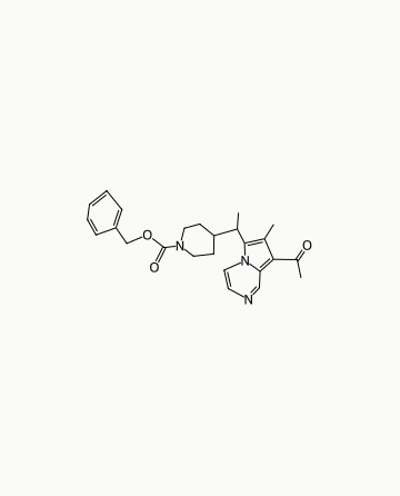 CC(=O)c1c(C)c(C(C)C2CCN(C(=O)OCc3ccccc3)CC2)n2ccncc12